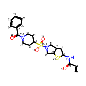 C=CC(=O)NC1CC2CN(S(=O)(=O)C3CCN(C(=O)c4ccccc4)CC3)CC2S1